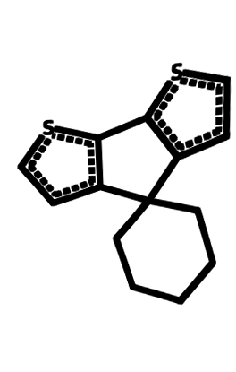 c1cc2c(s1)-c1sccc1C21CCCCC1